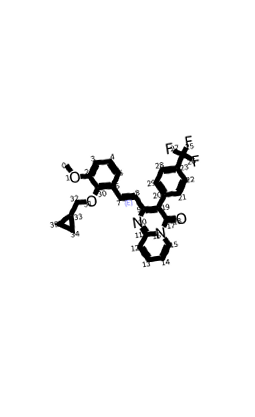 COc1cccc(/C=C/c2nc3ccccn3c(=O)c2-c2ccc(C(F)(F)F)cc2)c1OCC1CC1